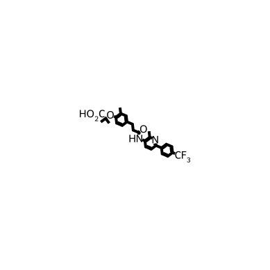 Cc1cc(CCC(=O)Nc2ccc(-c3ccc(C(F)(F)F)cc3)nc2C)ccc1OC(C)(C)C(=O)O